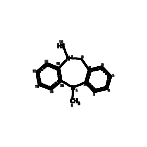 CN1c2ccccc2CN(S)c2ccccc21